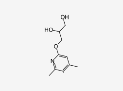 Cc1[c]c(C)nc(OCC(O)CO)c1